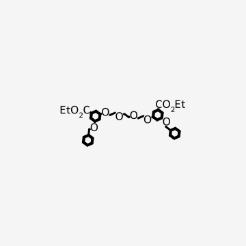 CCOC(=O)c1cc(OCCOCCOCCOc2cc(OCc3ccccc3)cc(C(=O)OCC)c2)cc(OCc2ccccc2)c1